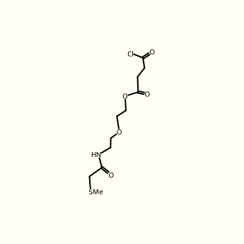 CSCC(=O)NCCOCCOC(=O)CCC(=O)Cl